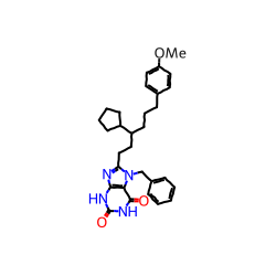 COc1ccc(CCCC(CCc2nc3[nH]c(=O)[nH]c(=O)c3n2Cc2ccccc2)C2CCCC2)cc1